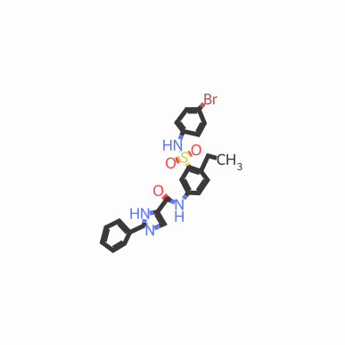 CCc1ccc(NC(=O)c2cnc(-c3ccccc3)[nH]2)cc1S(=O)(=O)Nc1ccc(Br)cc1